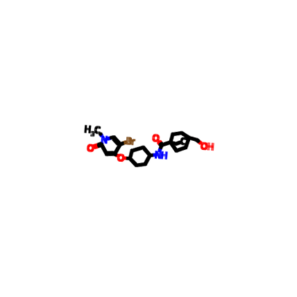 Cn1cc(Br)c(OC2CCC(NC(=O)C34CCC(CO)(CC3)CC4)CC2)cc1=O